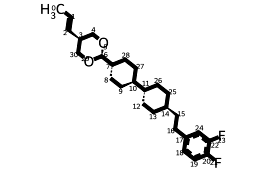 C/C=C/[C@H]1CO[C@H]([C@H]2CC[C@H]([C@H]3CC[C@H](CCc4ccc(F)c(F)c4)CC3)CC2)OC1